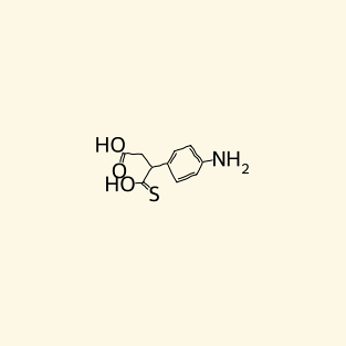 Nc1ccc(C(CC(=O)O)C(O)=S)cc1